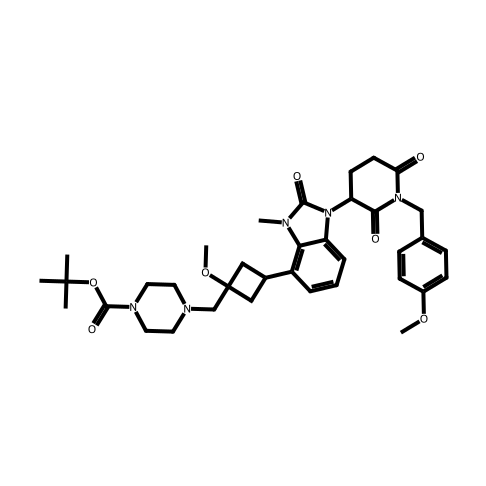 COc1ccc(CN2C(=O)CCC(n3c(=O)n(C)c4c(C5CC(CN6CCN(C(=O)OC(C)(C)C)CC6)(OC)C5)cccc43)C2=O)cc1